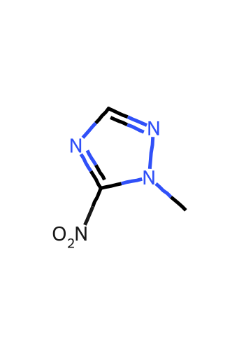 Cn1ncnc1[N+](=O)[O-]